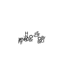 C[C@@H](NC(=O)c1ccc(/C=C/C(c2cc(Br)c(Cl)c(Br)c2)C(F)(F)F)cc1Br)C(=O)NCC(F)(F)F